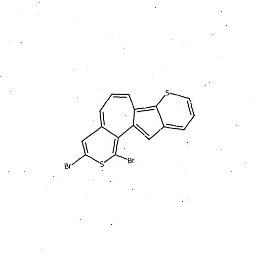 BrC1=Cc2cccc3c(cc4cccsc43)c2=C(Br)S1